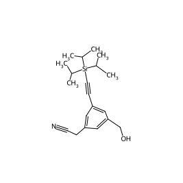 CC(C)[Si](C#Cc1cc(CO)cc(CC#N)c1)(C(C)C)C(C)C